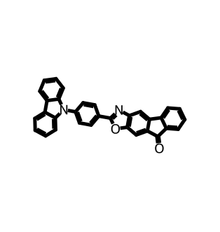 O=C1c2ccccc2-c2cc3nc(-c4ccc(-n5c6ccccc6c6ccccc65)cc4)oc3cc21